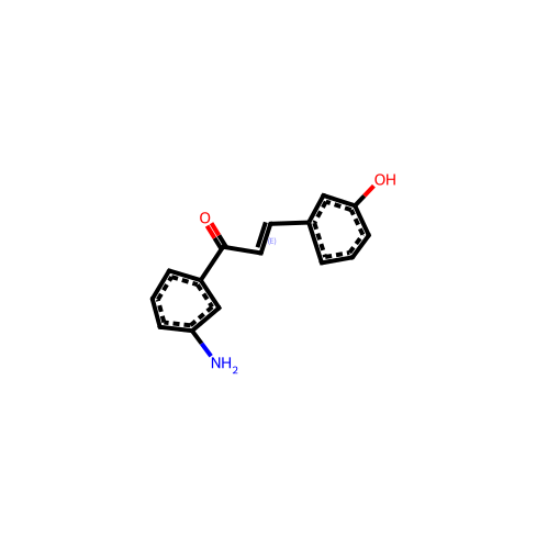 Nc1cccc(C(=O)/C=C/c2cccc(O)c2)c1